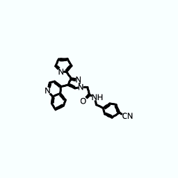 N#Cc1ccc(CNC(=O)Cn2cc(-c3ccnc4ccccc34)c(-c3ccccn3)n2)cc1